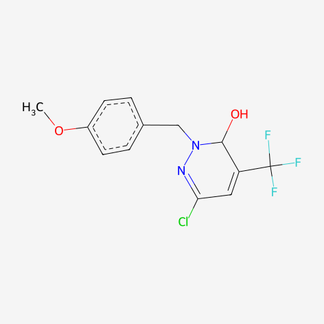 COc1ccc(CN2N=C(Cl)C=C(C(F)(F)F)C2O)cc1